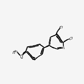 CCCOc1ccc(-c2cnc(Cl)c(Cl)c2)cc1